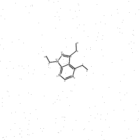 CCc1ncnc2c1c(CC)nn2CC